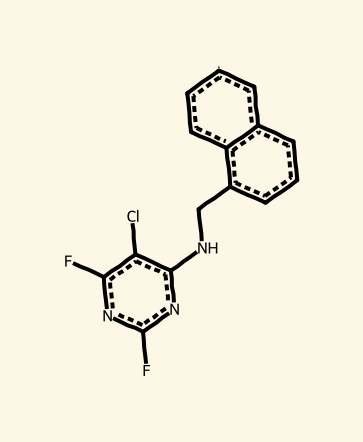 Fc1nc(F)c(Cl)c(NCc2cccc3c[c]ccc23)n1